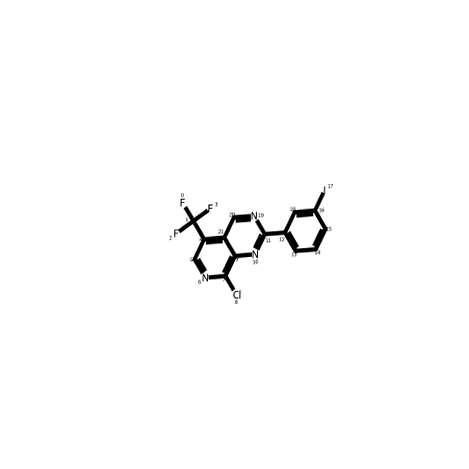 FC(F)(F)c1cnc(Cl)c2nc(-c3cccc(I)c3)ncc12